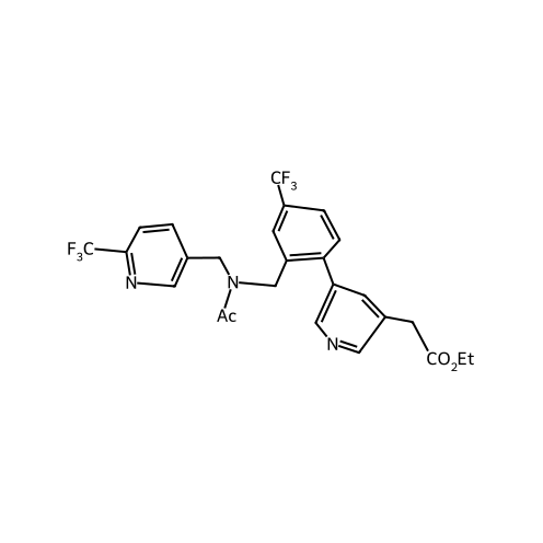 CCOC(=O)Cc1cncc(-c2ccc(C(F)(F)F)cc2CN(Cc2ccc(C(F)(F)F)nc2)C(C)=O)c1